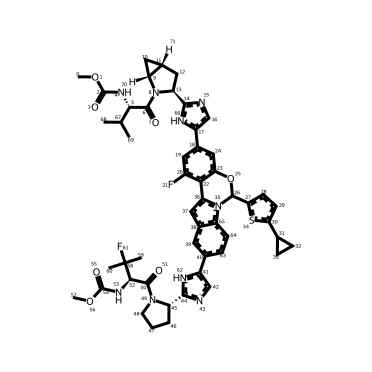 COC(=O)N[C@H](C(=O)N1[C@@H]2C[C@@H]2C[C@H]1c1ncc(-c2cc(F)c3c(c2)OC(c2ccc(C4CC4)s2)n2c-3cc3cc(-c4cnc([C@@H]5CCCN5C(=O)[C@@H](NC(=O)OC)C(C)(C)F)[nH]4)ccc32)[nH]1)C(C)C